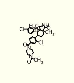 CC(=O)N1CCN(C(=O)c2ccc([C@@H]3CC[C@@]4(C)C(=O)N[C@H](C)[C@H]4[C@H]3c3ccc(Cl)cc3)c(Cl)c2)CC1